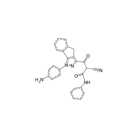 N#CC(C(=O)Nc1ccccc1)C(=O)c1nn(-c2ccc(N)cc2)c2c1Cc1ccccc1-2